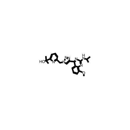 COc1cccc2c(-c3cn(Cc4cccc(C(C)(C)O)n4)nn3)nc(NC(C)C)nc12